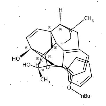 CCCCOc1ccc2c3c1O[C@@H]1[C@]34CCN(C)[C@H](C2)[C@]42C=C[C@@]1(O)[C@@]1(C2)C(c2ccccc2)[C@]1(C)O